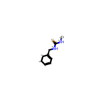 CCNC(=S)NCC1=CC=CCC1